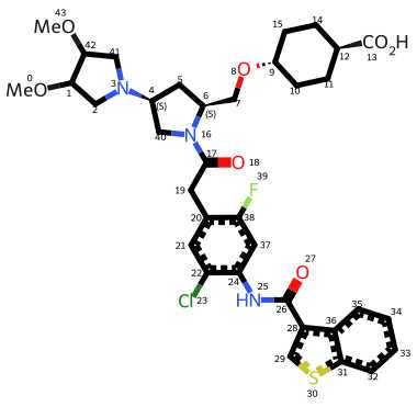 COC1CN([C@H]2C[C@@H](CO[C@H]3CC[C@H](C(=O)O)CC3)N(C(=O)Cc3cc(Cl)c(NC(=O)c4csc5ccccc45)cc3F)C2)CC1OC